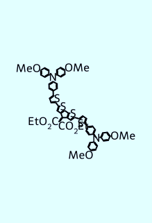 CCOC(=O)C(C(=O)OCC)=C1c2cc(-c3ccc(-c4ccc(N(c5ccc(OC)cc5)c5ccc(OC)cc5)cc4)s3)sc2-c2sc(-c3ccc(-c4ccc(N(c5ccc(OC)cc5)c5ccc(OC)cc5)cc4)s3)cc21